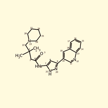 CC(C)(CC(=O)Nc1cc(-c2cnc3ccccc3c2)n[nH]1)CN1CCCCC1